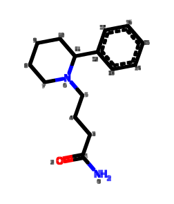 NC(=O)CCCN1CCCCC1c1ccccc1